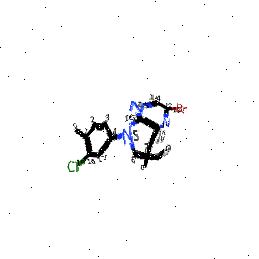 Cc1ccc(N2CC(C)(C)c3nc(Br)cnc32)cc1Cl